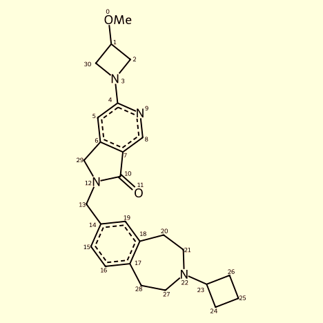 COC1CN(c2cc3c(cn2)C(=O)N(Cc2ccc4c(c2)CCN(C2CCC2)CC4)C3)C1